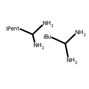 CCC(C)C(N)N.CCCC(C)C(N)N